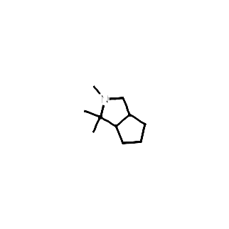 CN1CC2CCCC2C1(C)C